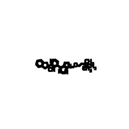 CS(C)(C)CCOCn1ccc2c(-c3ccnc(C4(C#N)Cc5ccccc5C4)c3)ncnc21